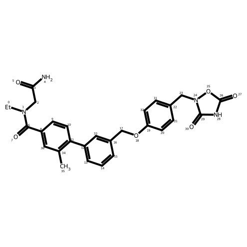 CCN(CC(N)=O)C(=O)c1ccc(-c2cccc(COc3ccc(Cn4oc(=O)[nH]c4=O)cc3)c2)c(C)c1